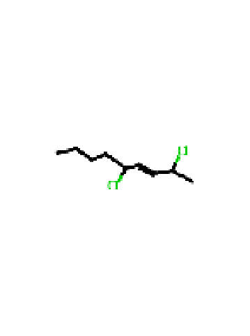 CCCCC(Cl)C=CC(C)Cl